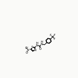 O=C(NCc1ccc(C(F)(F)F)cc1)Nc1ncc([N+](=O)[O-])s1